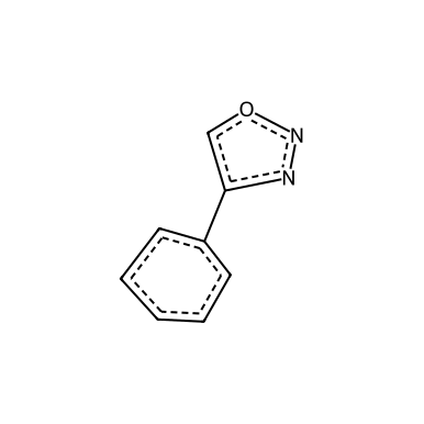 c1ccc(-c2conn2)cc1